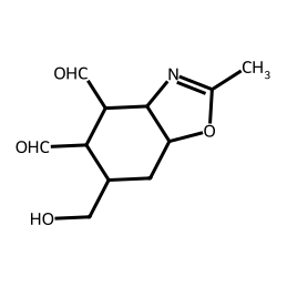 CC1=NC2C(CC(CO)C(C=O)C2C=O)O1